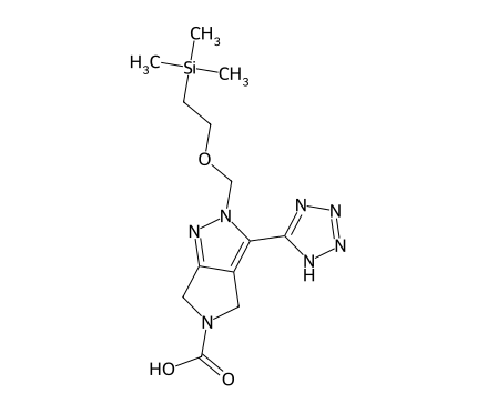 C[Si](C)(C)CCOCn1nc2c(c1-c1nnn[nH]1)CN(C(=O)O)C2